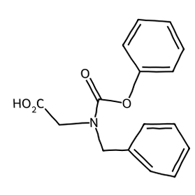 O=C(O)CN(Cc1ccccc1)C(=O)Oc1ccccc1